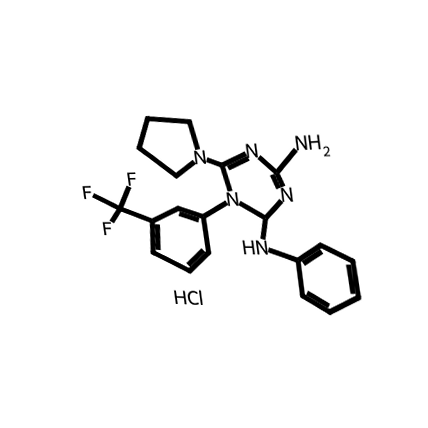 Cl.NC1=NC(Nc2ccccc2)N(c2cccc(C(F)(F)F)c2)C(N2CCCC2)=N1